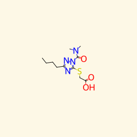 CCCCc1nc(SCC(=O)O)n(C(=O)N(C)C)n1